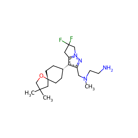 CN(CCN)Cc1nn2c(c1[C@H]1CC[C@@]3(CC1)CC(C)(C)CO3)CC(F)(F)C2